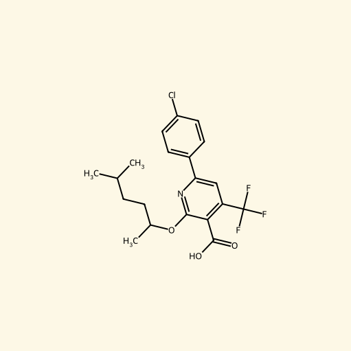 CC(C)CCC(C)Oc1nc(-c2ccc(Cl)cc2)cc(C(F)(F)F)c1C(=O)O